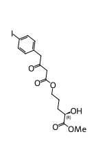 COC(=O)[C@H](O)CCCOC(=O)CC(=O)Cc1ccc(I)cc1